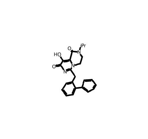 CC(C)N1CCn2c(Cc3ccccc3-c3ccccc3)nc(=O)c(O)c2C1=O